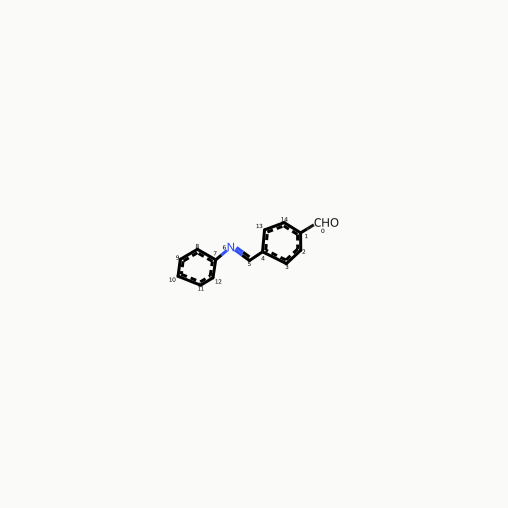 O=Cc1ccc(/C=N/c2ccccc2)cc1